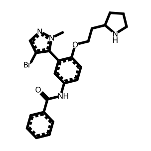 Cn1ncc(Br)c1-c1cc(NC(=O)c2ccccc2)ccc1OCCC1CCCN1